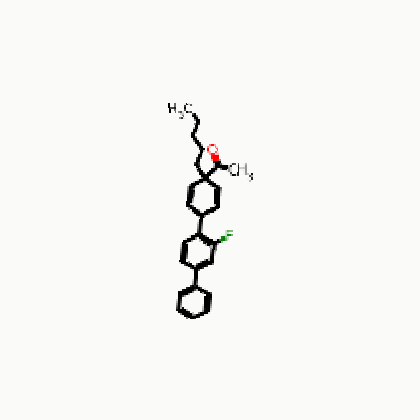 CCCCCC1(C(C)=O)C=CC(c2ccc(-c3ccccc3)cc2F)C=C1